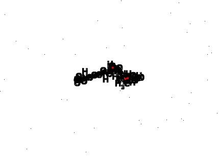 CCC(=O)O[C@]1(C(=O)COCNC(=O)CNC(=O)[C@H](Cc2ccccc2)NC(=O)CNC(=O)CNC(=O)CCOCCOCCOCCNC(=O)CCN2C(=O)C=CC2=O)[C@@H](C)CC2[C@@H]3CCC4=CC(=O)C=C[C@]4(C)[C@@]3(Cl)[C@@H](O)C[C@@]21C